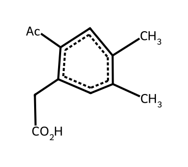 CC(=O)c1cc(C)c(C)cc1CC(=O)O